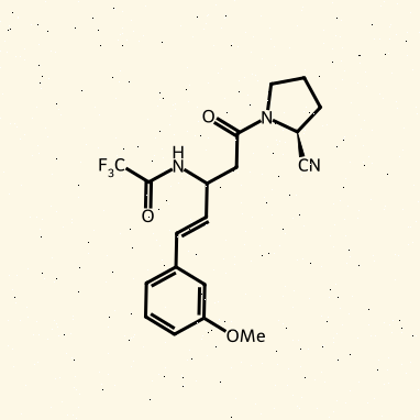 COc1cccc(C=CC(CC(=O)N2CCC[C@H]2C#N)NC(=O)C(F)(F)F)c1